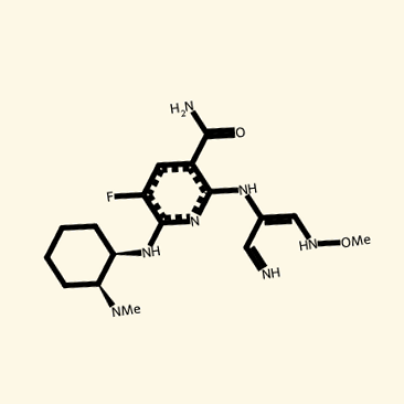 CN[C@H]1CCCC[C@H]1Nc1nc(N/C(C=N)=C/NOC)c(C(N)=O)cc1F